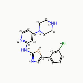 Brc1cccc(-c2cnc(Nc3cc(N4CCNCC4)ccn3)s2)c1